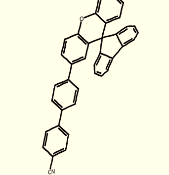 N#Cc1ccc(-c2ccc(-c3ccc4c(c3)C3(c5ccccc5O4)c4ccccc4-c4ccccc43)cc2)cc1